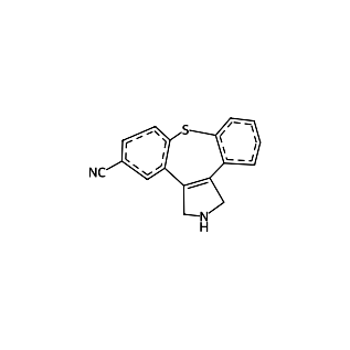 N#Cc1ccc2c(c1)C1=C(CNC1)c1ccccc1S2